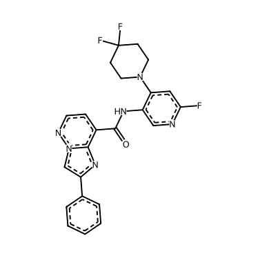 O=C(Nc1cnc(F)cc1N1CCC(F)(F)CC1)c1ccnn2cc(-c3ccccc3)nc12